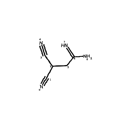 N#CC(C#N)CC(=N)N